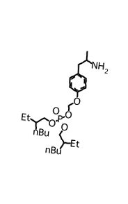 CCCCC(CC)COP(=O)(OCOc1ccc(CC(C)N)cc1)OCC(CC)CCCC